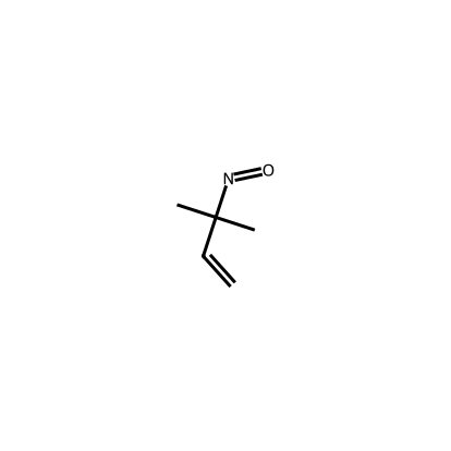 C=CC(C)(C)N=O